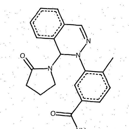 Cc1ccc(C(N)=O)cc1N1N=Cc2ccccc2C1N1CCCC1=O